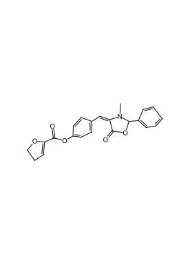 CN1/C(=C/c2ccc(OC(=O)C3=CCCO3)cc2)C(=O)OC1c1ccccc1